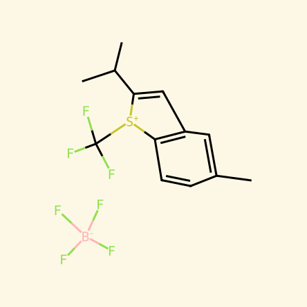 Cc1ccc2c(c1)cc(C(C)C)[s+]2C(F)(F)F.F[B-](F)(F)F